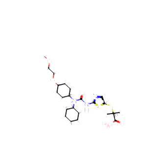 COCCOC1CCC(N(C(=O)Nc2ncc(SC(C)(C)C(=O)O)s2)C2CCCCC2)CC1